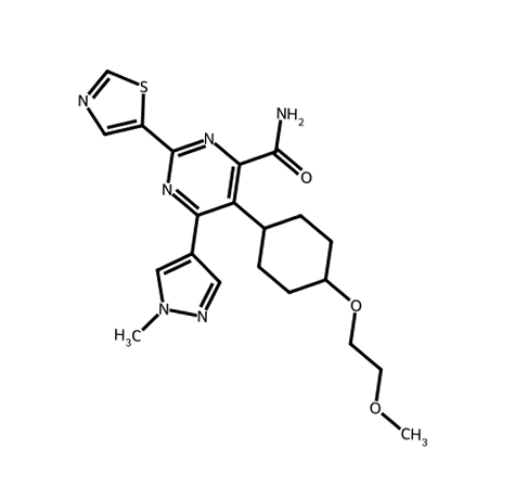 COCCOC1CCC(c2c(C(N)=O)nc(-c3cncs3)nc2-c2cnn(C)c2)CC1